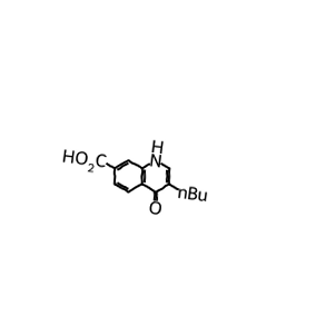 CCCCc1c[nH]c2cc(C(=O)O)ccc2c1=O